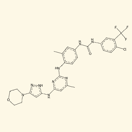 Cc1cc(Nc2cc(N3CCOCC3)n[nH]2)nc(Nc2ccc(NC(=O)Nc3ccc(Cl)c(C(F)(F)F)c3)cc2C)n1